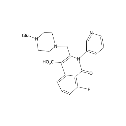 CC(C)(C)N1CCN(Cc2c(C(=O)O)c3cccc(F)c3c(=O)n2-c2cccnc2)CC1